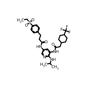 CCS(=O)(=O)c1ccc(CCC(=O)Nc2cnc(NC(C)C)c(NC(=O)CC3CCC(C(F)(F)F)CC3)c2)cc1